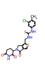 Cc1ccc(NC(=S)NCc2scc3c2CN(C2CCC(=O)NC2=O)C3=O)cc1Cl